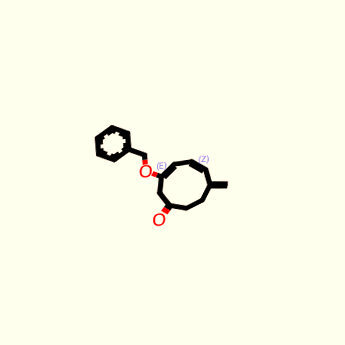 C=C1/C=C\C=C(\OCc2ccccc2)CC(=O)CC1